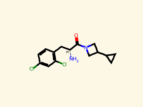 N[C@H](Cc1ccc(Cl)cc1Cl)C(=O)N1CC(C2CC2)C1